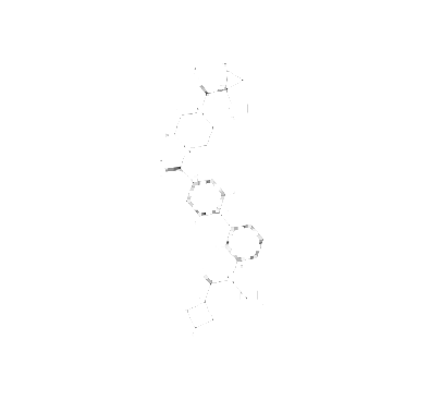 NN(C(=O)C1CCC1)c1cccc(-c2ccc(C(=O)N3CCN(C(=O)C4(O)CC4)CC3)cc2)c1